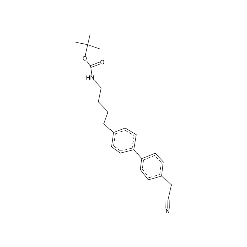 CC(C)(C)OC(=O)NCCCCc1ccc(-c2ccc(CC#N)cc2)cc1